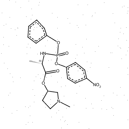 C[C@H](NP(=O)(Oc1ccccc1)Oc1ccc([N+](=O)[O-])cc1)C(=O)OC1CCN(C)C1